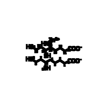 O=C([O-])CCCCC(S)CCS.O=C([O-])CCCCC(S)CCS.[NaH].[Zn+2]